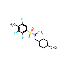 Cc1c(F)cc(S(=O)(=O)N(C)CC2CCC(C=O)CC2)c(F)c1F